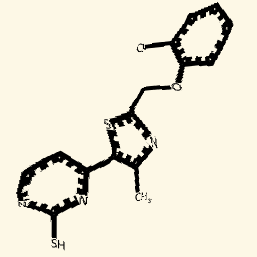 Cc1nc(COc2ccccc2Cl)sc1-c1ccnc(S)n1